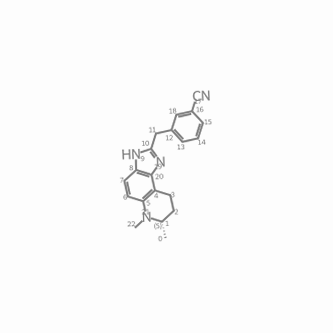 C[C@H]1CCc2c(ccc3[nH]c(Cc4cccc(C#N)c4)nc23)N1C